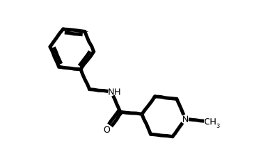 CN1CCC(C(=O)NCc2c[c]ccc2)CC1